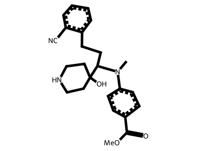 COC(=O)c1ccc(N(C)C(CCc2ccccc2C#N)C2(O)CCNCC2)cc1